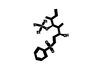 C=CC(C)[C@H](O[Si](CC)(CC)CC)C(C)[C@@H](O)/C=C/S(=O)(=O)c1ccccc1